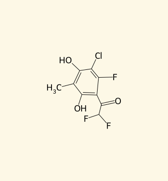 Cc1c(O)c(Cl)c(F)c(C(=O)C(F)F)c1O